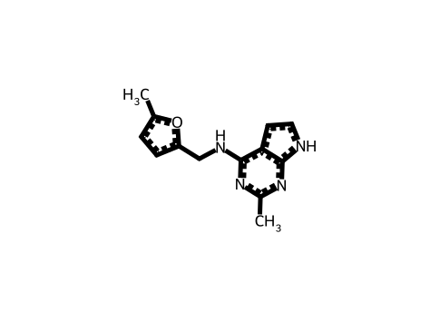 Cc1nc(NCc2ccc(C)o2)c2cc[nH]c2n1